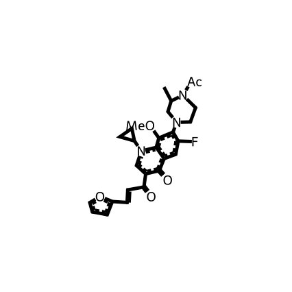 COc1c(N2CCN(C(C)=O)C(C)C2)c(F)cc2c(=O)c(C(=O)C=Cc3ccco3)cn(C3CC3)c12